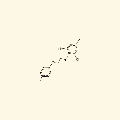 Cc1ccc(OCCOc2c(Cl)cc(C)cc2Cl)cc1